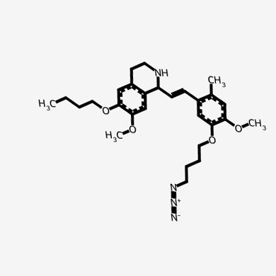 CCCCOc1cc2c(cc1OC)C(/C=C/c1cc(OCCCCN=[N+]=[N-])c(OC)cc1C)NCC2